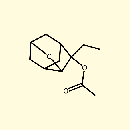 CCC1(OC(C)=O)C2CC3CC(C2)C1C3